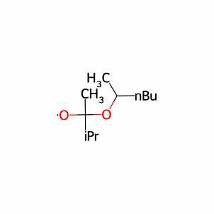 CCCCC(C)OC(C)([O])C(C)C